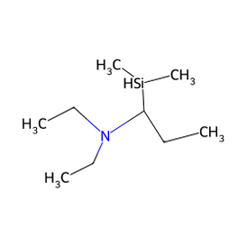 CCC(N(CC)CC)[SiH](C)C